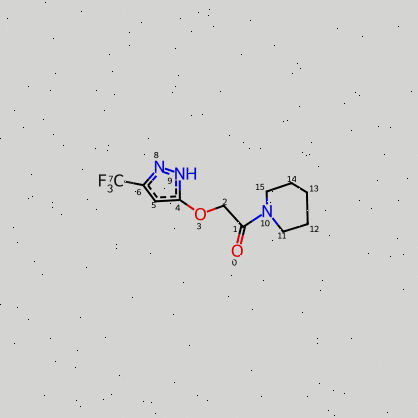 O=C(COc1cc(C(F)(F)F)n[nH]1)N1CCCCC1